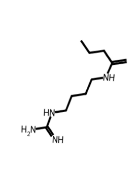 C=C(CCC)NCCCCNC(=N)N